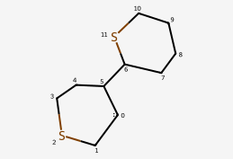 [C]1CSCCC1C1CCCCS1